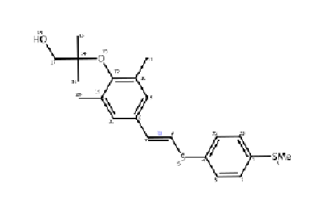 CSc1ccc(S/C=C/c2cc(C)c(OC(C)(C)CO)c(C)c2)cc1